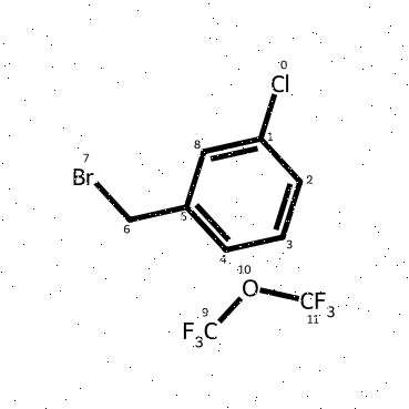 Clc1cccc(CBr)c1.FC(F)(F)OC(F)(F)F